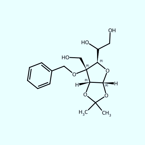 CC1(C)O[C@H]2O[C@H](C(O)CO)[C@@](CO)(OCc3ccccc3)[C@H]2O1